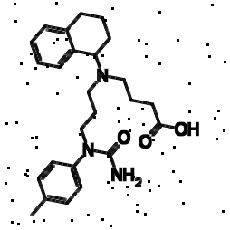 Cc1ccc(N(CCCN(CCCC(=O)O)C2CCCc3ccccc32)C(N)=O)cc1